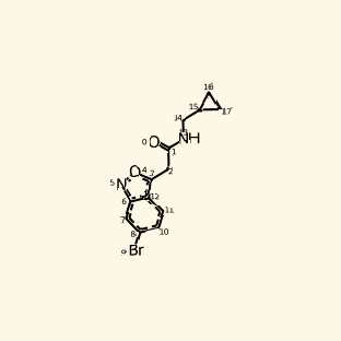 O=C(Cc1onc2cc(Br)ccc12)NCC1CC1